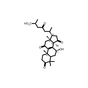 CC(CC(=O)CC(C)[C@H]1CC(=O)[C@H]2C3=C(C(=O)C[C@@]21C)[C@@]1(C)CCC(=O)C(C)(C)C1C[C@@H]3O)C(=O)O